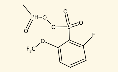 C[PH](=O)OOS(=O)(=O)c1c(F)cccc1OC(F)(F)F